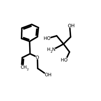 C=CC(OCO)c1ccccc1.NC(CO)(CO)CO